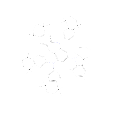 Cc1cc(C)c2c(c1)C1(C)CCCCC1(C)N2c1cc2c3c(c1)N(c1ccc4c(c1)C(C)(C)CCC4(C)C)c1cc4c(cc1B3c1cc3c(cc1N2c1ccc2c(c1)C(C)(C)CCC2(C)C)C(C)(C)CCC3(C)C)C(C)(C)CCC4(C)C